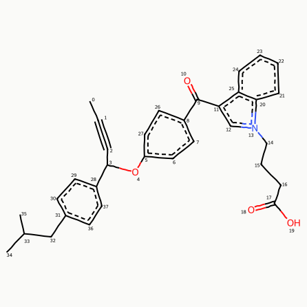 CC#CC(Oc1ccc(C(=O)c2cn(CCCC(=O)O)c3ccccc23)cc1)c1ccc(CC(C)C)cc1